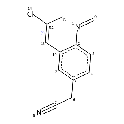 C=Nc1ccc(CC#N)cc1/C=C(\C)Cl